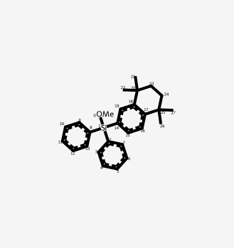 CO[Si](c1ccccc1)(c1ccccc1)c1ccc2c(c1)C(C)(C)CCC2(C)C